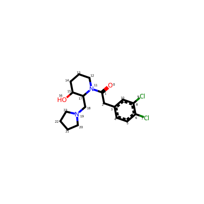 O=C(Cc1ccc(Cl)c(Cl)c1)N1CCCC(O)C1CN1CCCC1